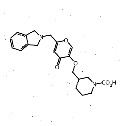 O=C(O)N1CCCC(COc2coc(CN3Cc4ccccc4C3)cc2=O)C1